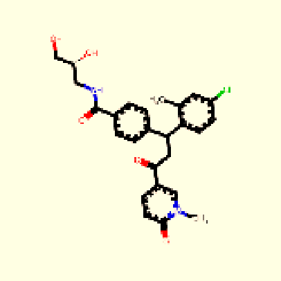 Cc1cc(Cl)ccc1C(CC(=O)c1ccc(=O)n(C)c1)c1ccc(C(=O)NC[C@@H](O)CO)cc1